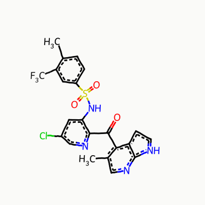 Cc1ccc(S(=O)(=O)Nc2cc(Cl)cnc2C(=O)c2c(C)cnc3[nH]ccc23)cc1C(F)(F)F